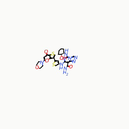 NC(=O)c1c(Nc2csc(-c3csc4c(=O)cc(N5CCOCC5)oc34)c2)nc(N[C@@H]2CCCC[C@@H]2O)n2cnnc12